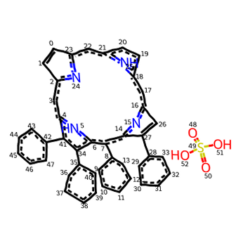 C1=Cc2cc3[nH]c(c(-c4ccccc4)c4nc(cc5ccc(cc1n2)[nH]5)C=C4c1ccccc1)c(-c1ccccc1)c3-c1ccccc1.O=S(=O)(O)O